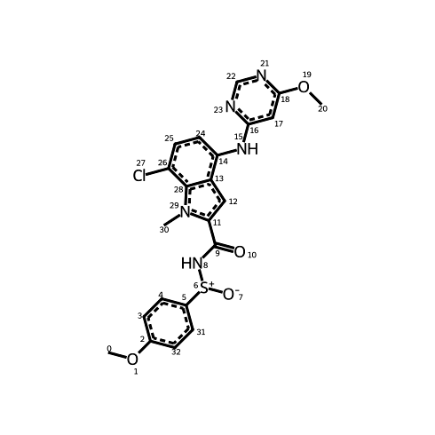 COc1ccc([S+]([O-])NC(=O)c2cc3c(Nc4cc(OC)ncn4)ccc(Cl)c3n2C)cc1